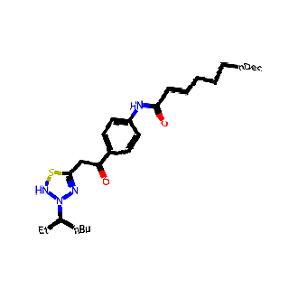 CCCCCCCCCCCCCCCC(=O)Nc1ccc(C(=O)CC2=NN(C(CC)CCCC)NS2)cc1